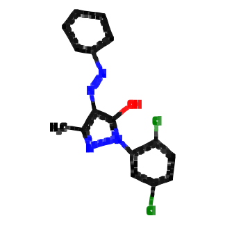 Cc1nn(-c2cc(Cl)ccc2Cl)c(O)c1N=Nc1ccccc1